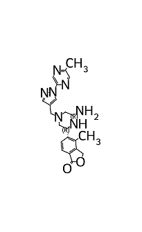 Cc1cnc(-n2cc(CN3C[C@@H](c4ccc5c(c4C)COC5=O)N[C@@H](N)C3)cn2)cn1